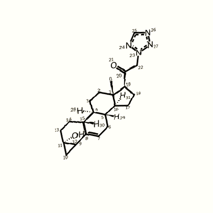 C[C@]12CC[C@H]3[C@@H](CC=C4C5C[C@@]5(O)CC[C@@H]43)[C@@H]1CC[C@@H]2C(=O)Cn1ncnn1